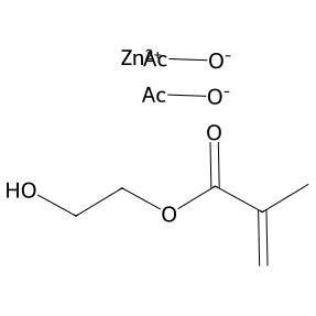 C=C(C)C(=O)OCCO.CC(=O)[O-].CC(=O)[O-].[Zn+2]